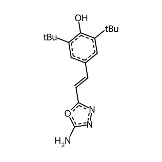 CC(C)(C)c1cc(C=Cc2nnc(N)o2)cc(C(C)(C)C)c1O